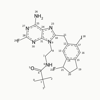 CC(C)(C)C(=O)NCCn1c(Cc2cc3c(cc2I)CCC3F)nc2c(N)nc(F)nc21